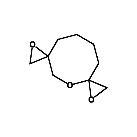 C1CCC2(CO2)OCC2(C1)CO2